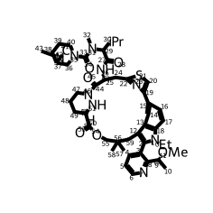 CCn1c(-c2cccnc2[C@H](C)OC)c2c3cc(ccc31)-c1csc(n1)C[C@H](NC(=O)C(C(C)C)N(C)C(=O)N1CC3CCC1CN3C)C(=O)N1CCC[C@H](N1)C(=O)OCC(C)(C)C2